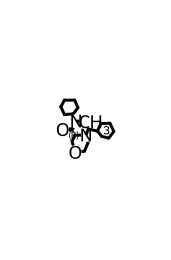 CN(C(=O)[C@H]1COCCN1CC1CCCCC1)C1CCCCC1